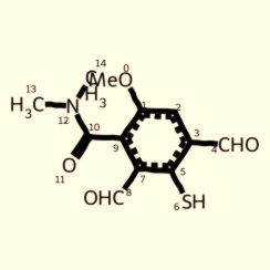 COc1cc(C=O)c(S)c(C=O)c1C(=O)N(C)C